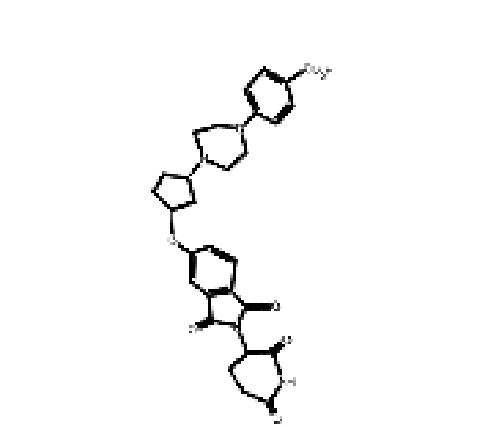 O=C1CCC(N2C(=O)c3ccc(O[C@H]4CC[C@@H](N5CCN(c6ccc(C(=O)O)cc6)CC5)C4)cc3C2=O)C(=O)N1